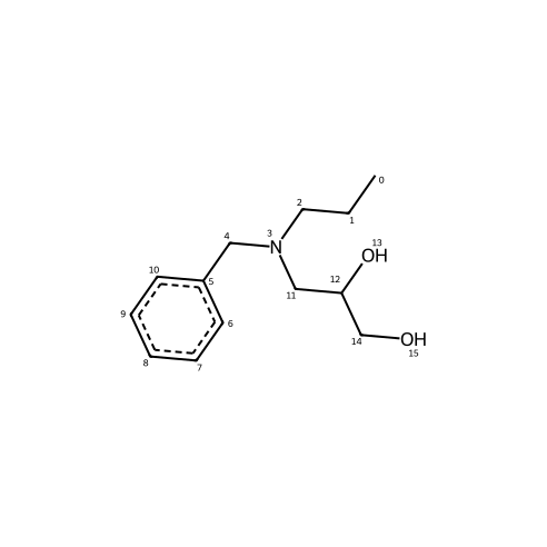 CCCN(Cc1ccccc1)CC(O)CO